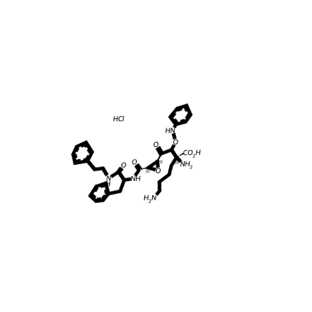 Cl.NCCCC[C@@](N)(C(=O)O)C(ONc1ccccc1)C(=O)[C@H]1O[C@@H]1C(=O)NC(Cc1ccccc1)C(=O)NCCc1ccccc1